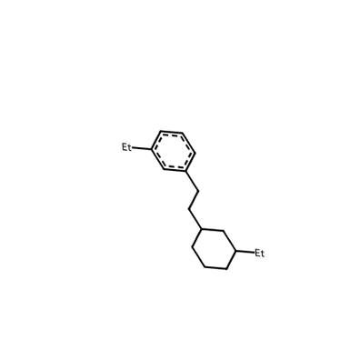 CCc1cccc(CCC2CCCC(CC)C2)c1